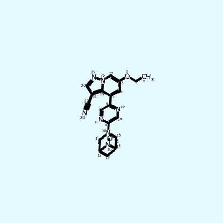 CCOc1cc(-c2cnc(N3CC4CC(C3)N4C)cn2)c2c(C#N)cnn2c1